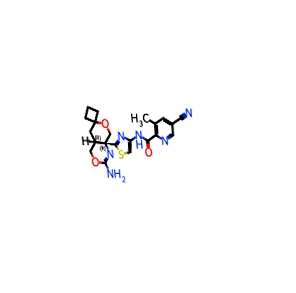 Cc1cc(C#N)cnc1C(=O)Nc1csc([C@]23COC4(CCC4)C[C@H]2COC(N)=N3)n1